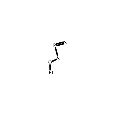 CCOSP=S